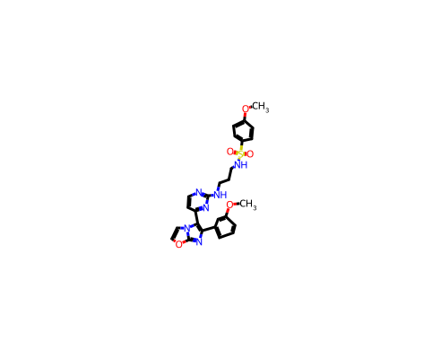 COc1ccc(S(=O)(=O)NCCCNc2nccc(-c3c(-c4cccc(OC)c4)nc4occn34)n2)cc1